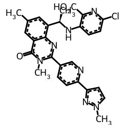 Cc1cc([C@@H](C)Nc2ccc(Cl)nc2C(=O)O)c2nc(-c3ccc(-c4ccn(C)n4)nc3)n(C)c(=O)c2c1